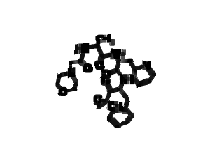 C[C@H](NC(=O)CN1CCOCC1)C(=O)N[C@@H](Cc1ccccn1)C(=O)NC(Cc1ccccc1)C(=O)[C@@]1(C)CO1